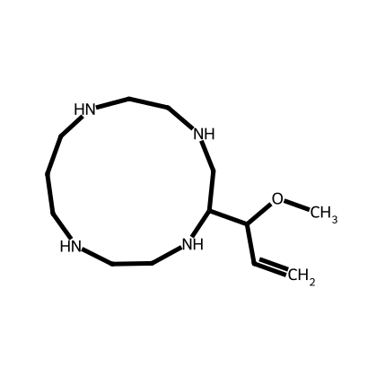 C=CC(OC)C1CNCCNCCCNCCN1